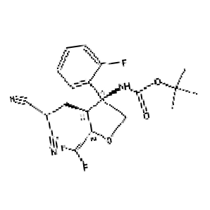 CC(C)(C)OC(=O)N[C@@]1(c2ccccc2F)CO[C@H](C(F)F)[C@H]1CC(C#N)C#N